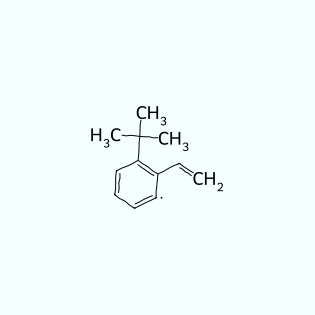 C=Cc1[c]cccc1C(C)(C)C